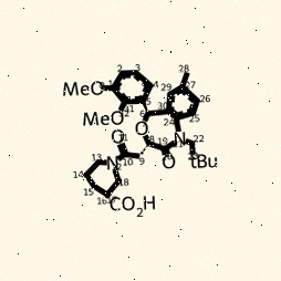 COc1cccc([C@@H]2O[C@@H](CC(=O)N3CCCC(C(=O)O)C3)C(=O)N(CC(C)(C)C)c3ccc(C)cc32)c1OC